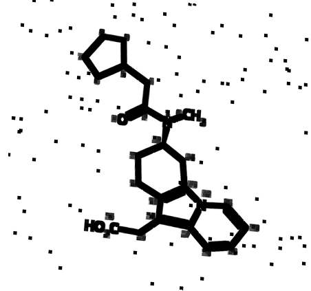 CN(C(=O)CC1CCCC1)[C@@H]1CCc2c(CC(=O)O)c3ccccn3c2C1